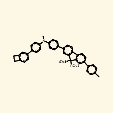 CCCCCCCCC1(CCCCCCCC)c2cc(-c3ccc(C)cc3)ccc2-c2ccc(-c3ccc(N(C)c4ccc(-c5ccc6c(c5)CC6)cc4)cc3)cc21